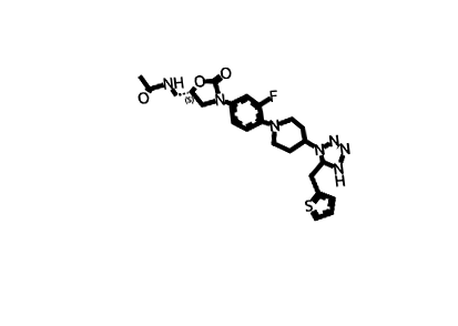 CC(=O)NC[C@H]1CN(c2ccc(N3CCC(N4N=NNC4Cc4cccs4)CC3)c(F)c2)C(=O)O1